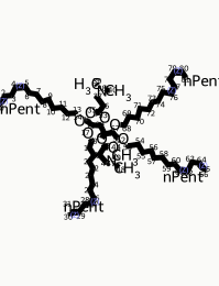 CCCCC/C=C\C/C=C\CCCCCCCCOCC(OCCCCCCCC/C=C\C/C=C\CCCCC)C(OC(=O)CCN(C)C)C(OC(=O)CCN(C)C)C(COCCCCCCCC/C=C\C/C=C\CCCCC)OCCCCCCCC/C=C\C/C=C\CCCCC